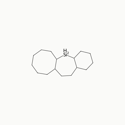 C1CCCC2[SiH2]C3CCCCC3CCC2CC1